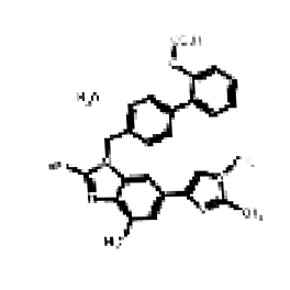 CCCc1nc2c(C)cc(-c3cn(C)c(C)n3)cc2n1Cc1ccc(-c2ccccc2OC(=O)O)cc1.O